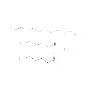 CCCCCC(=O)O.CCCCCC(=O)O.OCCOCCOCCOCCO